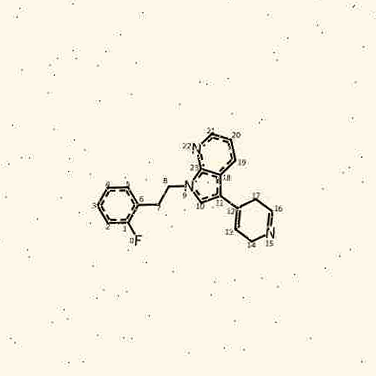 Fc1ccccc1CCn1cc(C2=CCN=CC2)c2cccnc21